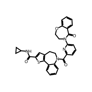 O=C(NC1CC1)c1cc2c(s1)-c1ccccc1N(C(=O)c1cccc(N3CCOc4ccccc4C3=O)n1)CC2